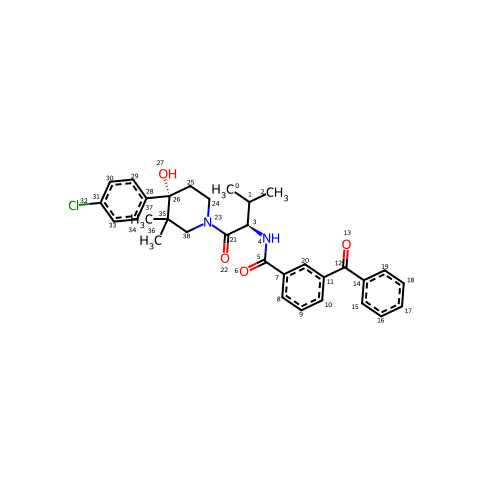 CC(C)[C@@H](NC(=O)c1cccc(C(=O)c2ccccc2)c1)C(=O)N1CC[C@](O)(c2ccc(Cl)cc2)C(C)(C)C1